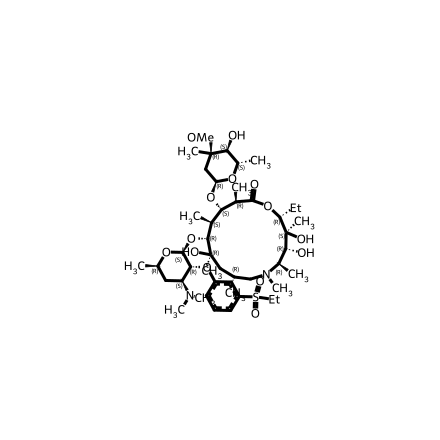 CC[C@H]1OC(=O)[C@H](C)[C@@H](O[C@H]2C[C@@](C)(OC)[C@@H](O)[C@H](C)O2)[C@H](C)[C@@H](O[C@@H]2O[C@H](C)C[C@H](N(C)C)[C@H]2Oc2cccc(S(=O)(=O)CC)c2)[C@](C)(O)C[C@@H](C)CN(C)[C@H](C)[C@@H](O)[C@]1(C)O